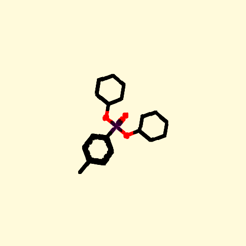 Cc1ccc(P(=O)(OC2CCCCC2)OC2CCCCC2)cc1